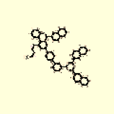 C/C=C\C=C/c1cc(-c2ccc(-c3cccc(-c4nc(-c5ccc6ccccc6c5)nc(-c5ccc6ccccc6c5)n4)c3)cc2)cc2c(-c3ccc4ccccc4c3)nc3ccccc3c12